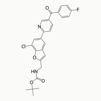 CC(C)(C)OC(=O)NCc1cc2cc(-c3ccc(C(=O)c4ccc(F)cc4)cn3)cc(Cl)c2o1